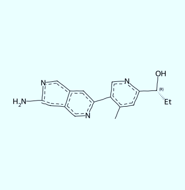 CC[C@@H](O)c1cc(C)c(-c2cc3cnc(N)cc3cn2)cn1